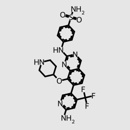 Nc1cc(C(F)(F)F)c(-c2ccc3cnc(Nc4ccc(S(N)(=O)=O)cc4)nc3c2OC2CCNCC2)cn1